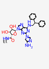 CCNC(=O)[C@H]1O[C@@H](n2cnc3c(NCC(c4ccccc4)c4ccccc4)nc(-n4cnc(N)c4)nc32)[C@H](O)[C@@H]1O